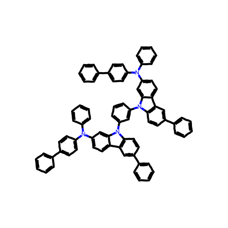 c1ccc(-c2ccc(N(c3ccccc3)c3ccc4c5cc(-c6ccccc6)ccc5n(-c5cccc(-n6c7ccc(-c8ccccc8)cc7c7ccc(N(c8ccccc8)c8ccc(-c9ccccc9)cc8)cc76)c5)c4c3)cc2)cc1